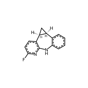 Fc1ccc2c(n1)Nc1ccccc1[C@@H]1C[C@H]21